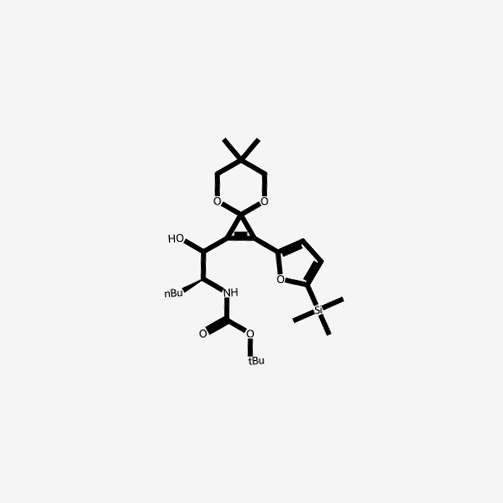 CCCC[C@H](NC(=O)OC(C)(C)C)C(O)C1=C(c2ccc([Si](C)(C)C)o2)C12OCC(C)(C)CO2